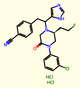 Cl.Cl.N#Cc1ccc(CC(c2cnc[nH]2)N2CC(=O)N(c3cccc(Cl)c3)C[C@@H]2CCF)cc1